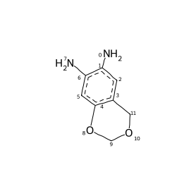 Nc1cc2c(cc1N)OCOC2